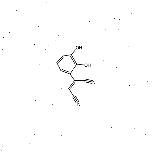 N#C/C=C(\C#N)c1cccc(O)c1O